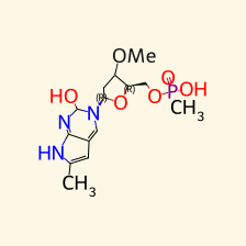 COC1C[C@H](N2C=c3cc(C)[nH]c3=NC2O)O[C@@H]1COP(C)(=O)O